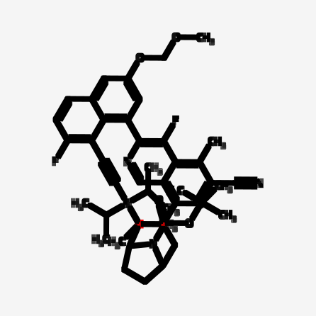 COCOc1cc(-c2ncc3c(N4CC5CCC(C4)N5C(=O)OC(C)(C)C)nc(C#N)c(C)c3c2F)c2c(C#C[Si](C(C)C)(C(C)C)C(C)C)c(F)ccc2c1